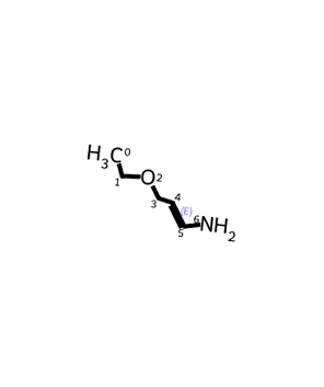 CCOC/C=C/N